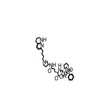 O=C(CC[C@@H](NC(=O)[C@@H]1CCCN1S(=O)(=O)c1ccccc1)C(=O)O)N[C@H]1CCN(CCCCc2ccc3c(n2)NCCC3)C1